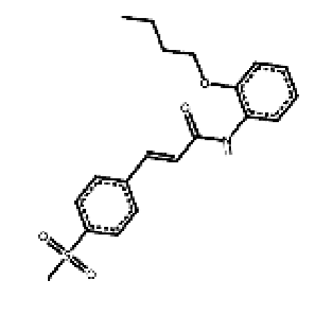 CCCCOc1ccccc1NC(=O)/C=C/c1ccc(S(C)(=O)=O)cc1